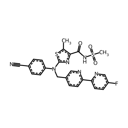 Cc1sc(N(Cc2ccc(-c3ccc(F)cn3)nc2)c2ccc(C#N)cc2)nc1C(=O)NS(C)(=O)=O